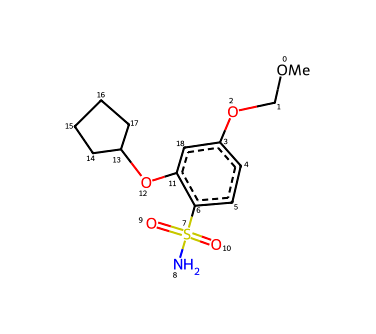 COCOc1ccc(S(N)(=O)=O)c(OC2CCCC2)c1